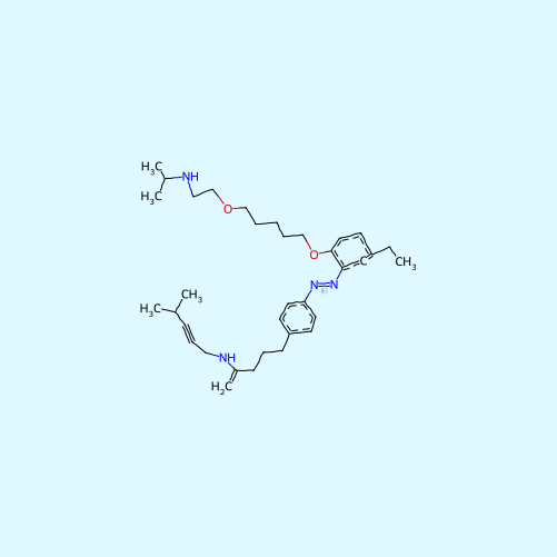 C=C(CCCc1ccc(/N=N/c2cc(CC)ccc2OCCCCCOCCNC(C)C)cc1)NCC#CC(C)C